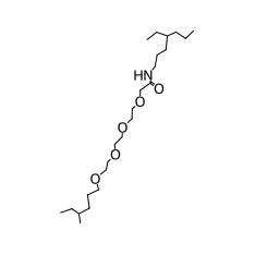 CCCC(CC)CCCNC(=O)COCCOCCOCCOCCCC(C)CC